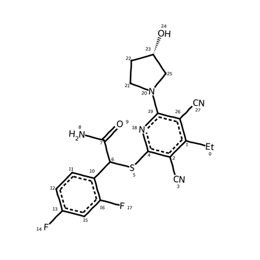 CCc1c(C#N)c(SC(C(N)=O)c2ccc(F)cc2F)nc(N2CC[C@H](O)C2)c1C#N